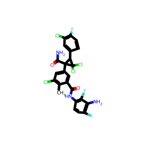 Cc1c(Cl)cc(C2(C(N)=O)C(c3ccc(F)c(Cl)c3)C2(Cl)Cl)cc1C(=O)Nc1ccc(F)c(N)c1F